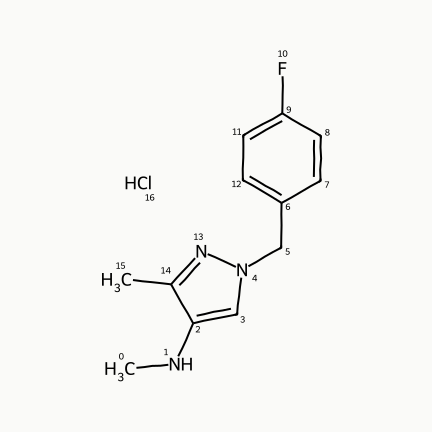 CNc1cn(Cc2ccc(F)cc2)nc1C.Cl